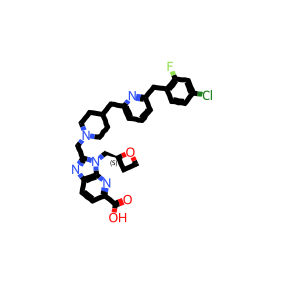 O=C(O)c1ccc2nc(CN3CCC(Cc4cccc(Cc5ccc(Cl)cc5F)n4)CC3)n(C[C@@H]3CCO3)c2n1